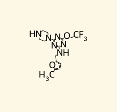 Cc1ccc(CNc2nc(OCC(F)(F)F)nc(N3CCNCC3)n2)o1